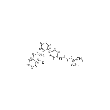 CN(C)CCCOc1ccc(-c2ccccc2CC2CCc3ccccc3C2=O)cc1